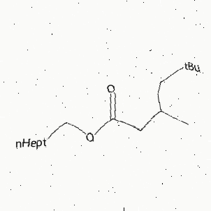 CCCCCCCCOC(=O)CC(C)CC(C)(C)C